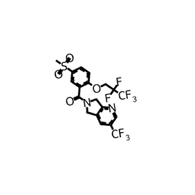 CS(=O)(=O)c1ccc(OCC(F)(F)C(F)(F)F)c(C(=O)N2Cc3cc(C(F)(F)F)cnc3C2)c1